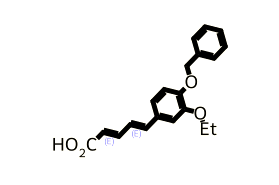 CCOc1cc(/C=C/C=C/C(=O)O)ccc1OCc1ccccc1